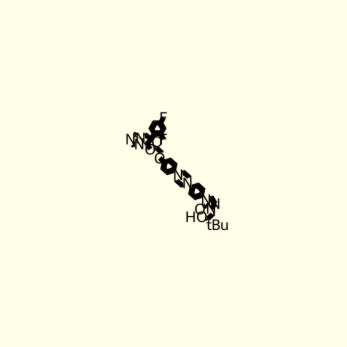 CC(C)(C)C(O)Cn1ncn(-c2ccc(N3CCN(c4ccc(OCC5OCC(Cn6cncn6)(c6ccc(F)cc6F)O5)cc4)CC3)cc2)c1=O